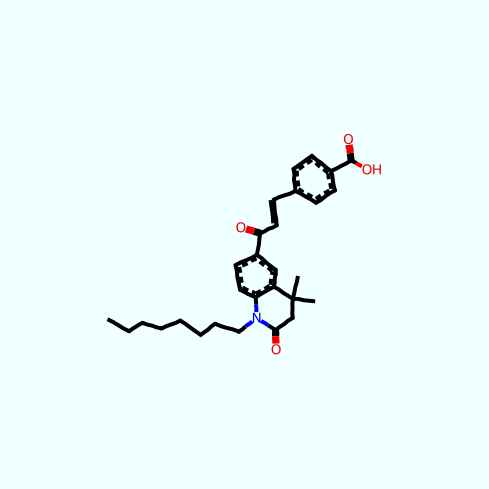 CCCCCCCCN1C(=O)CC(C)(C)c2cc(C(=O)/C=C/c3ccc(C(=O)O)cc3)ccc21